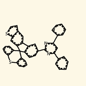 c1ccc(-c2cc(-c3ccccc3)nc(-c3ccc4c(c3)-c3cc5ccsc5cc3C43c4ccccc4Sc4ccccc43)n2)cc1